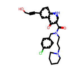 O=C(c1c[nH]c2ccc(C#CCO)cc2c1=O)N(CCCN1CCCCC1)Cc1ccc(Cl)cc1